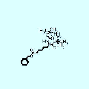 CC(C)(C)OC(=O)NN(CCCCCC(=O)OCc1ccccc1)C(=O)OC(C)(C)C